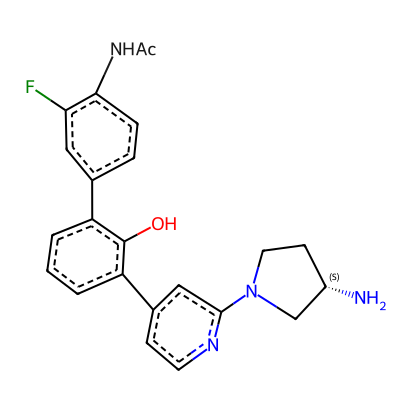 CC(=O)Nc1ccc(-c2cccc(-c3ccnc(N4CC[C@H](N)C4)c3)c2O)cc1F